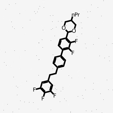 CCCC1COC(c2ccc(-c3ccc(CCc4cc(F)c(F)c(F)c4)cc3)c(F)c2F)OC1